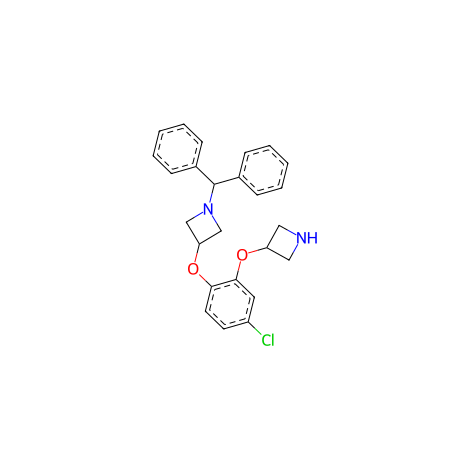 Clc1ccc(OC2CN(C(c3ccccc3)c3ccccc3)C2)c(OC2CNC2)c1